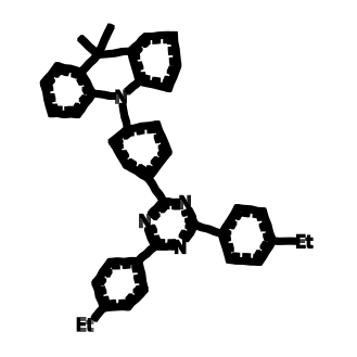 CCc1ccc(-c2nc(-c3ccc(CC)cc3)nc(-c3ccc(N4c5ccccc5C(C)(C)c5ccccc54)cc3)n2)cc1